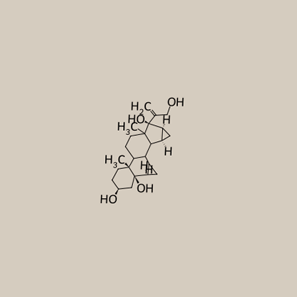 C=C(CO)[C@]1(O)[C@H]2C[C@H]2C2C3C(CCC21C)[C@@]1(C)CC[C@H](O)C[C@@]1(O)[C@@H]1C[C@H]31